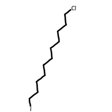 ClCCCCCCCCCCCI